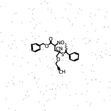 C#CCOCC(C#N)(CC(C(=O)OCc1ccccc1)[N+](=O)[O-])SC(=S)c1ccccc1